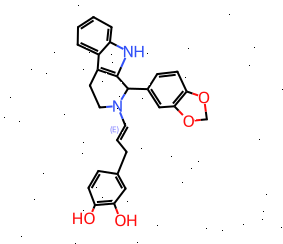 Oc1ccc(C/C=C/N2CCc3c([nH]c4ccccc34)C2c2ccc3c(c2)OCO3)cc1O